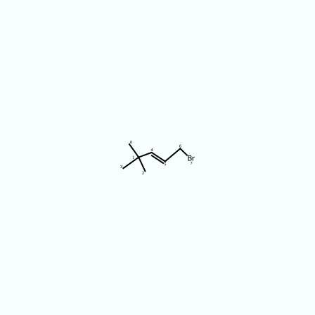 CC(C)(C)C=CCBr